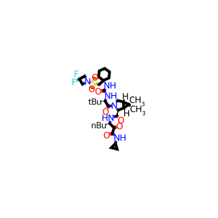 CCCC[C@H](NC(=O)[C@@H]1[C@@H]2[C@H](CN1C(=O)[C@@H](NC(=O)NC1(CS(=O)(=O)N3CC(F)(F)C3)CCCCC1)C(C)(C)C)C2(C)C)C(=O)C(=O)NC1CC1